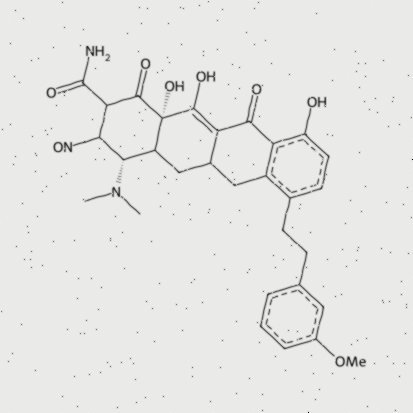 COc1cccc(CCc2ccc(O)c3c2CC2CC4[C@H](N(C)C)C(N=O)C(C(N)=O)C(=O)[C@@]4(O)C(O)=C2C3=O)c1